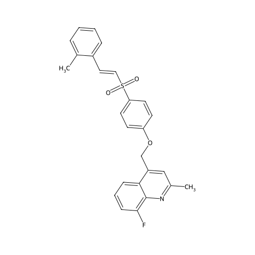 Cc1cc(COc2ccc(S(=O)(=O)/C=C/c3ccccc3C)cc2)c2cccc(F)c2n1